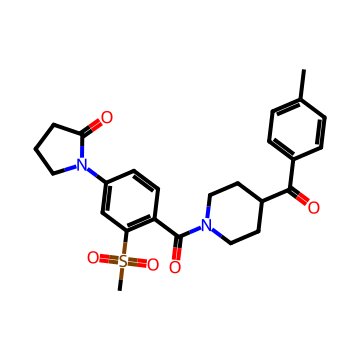 Cc1ccc(C(=O)C2CCN(C(=O)c3ccc(N4CCCC4=O)cc3S(C)(=O)=O)CC2)cc1